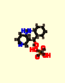 Nc1ccccc1C(=O)c1cccnc1.O=S(=O)(O)O